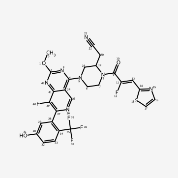 COc1nc(N2CCN(C(=O)/C(F)=C/c3nccs3)C(CC#N)C2)c2cnc(-c3cc(O)ccc3C(F)(F)F)c(F)c2n1